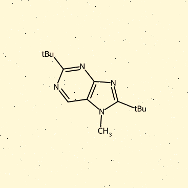 Cn1c(C(C)(C)C)nc2nc(C(C)(C)C)ncc21